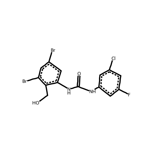 O=C(Nc1cc(F)cc(Cl)c1)Nc1cc(Br)cc(Br)c1CO